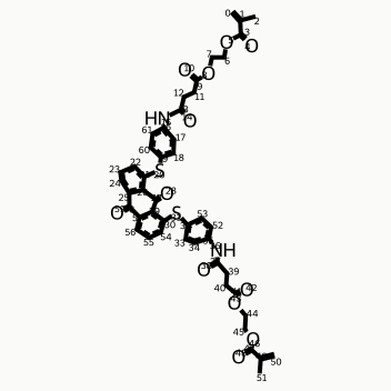 C=C(C)C(=O)OCCOC(=O)CCC(=O)Nc1ccc(Sc2cccc3c2C(=O)c2c(Sc4ccc(NC(=O)CCC(=O)OCCOC(=O)C(=C)C)cc4)cccc2C3=O)cc1